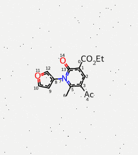 CCOC(=O)c1cc(C(C)=O)c(C)n(-c2ccoc2)c1=O